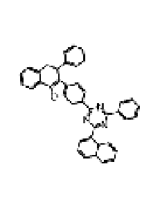 C1=CC2C=CC=C(c3nc(-c4ccccc4)nc(C4C=Cc5c(oc6c5C(C5=CCCC=C5)Cc5ccccc5-6)C4)n3)C2C=C1